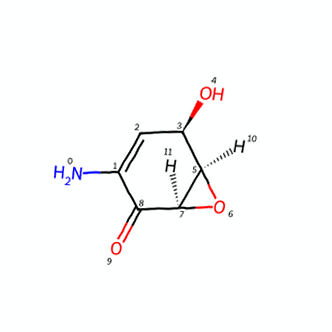 NC1=C[C@@H](O)[C@H]2O[C@H]2C1=O